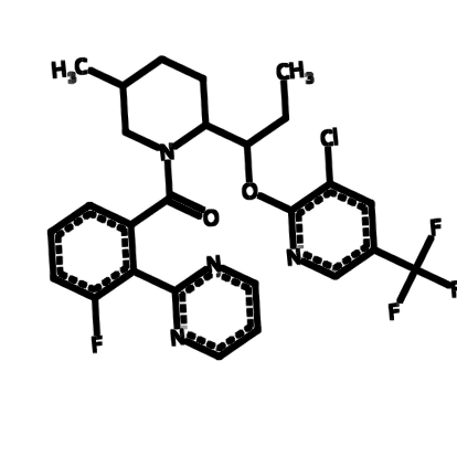 CCC(Oc1ncc(C(F)(F)F)cc1Cl)C1CCC(C)CN1C(=O)c1cccc(F)c1-c1ncccn1